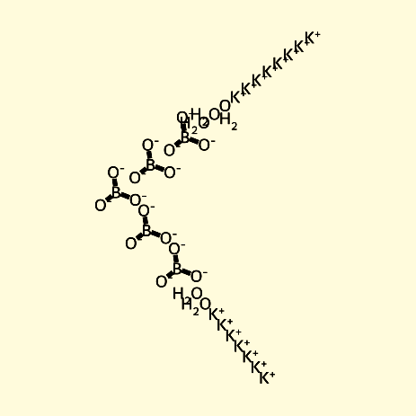 O.O.O.O.O.[K+].[K+].[K+].[K+].[K+].[K+].[K+].[K+].[K+].[K+].[K+].[K+].[K+].[K+].[K+].[O-]B([O-])[O-].[O-]B([O-])[O-].[O-]B([O-])[O-].[O-]B([O-])[O-].[O-]B([O-])[O-]